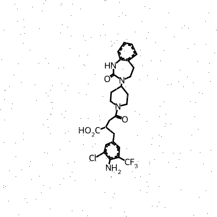 Nc1c(Cl)cc(CC(CC(=O)N2CCC(N3CCc4ccccc4NC3=O)CC2)C(=O)O)cc1C(F)(F)F